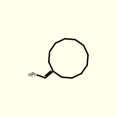 [CH2]CCC=C1CCCCCCCCCCC1